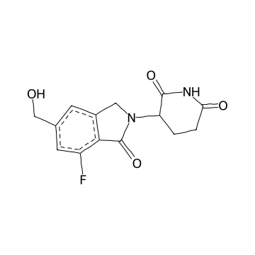 O=C1CCC(N2Cc3cc(CO)cc(F)c3C2=O)C(=O)N1